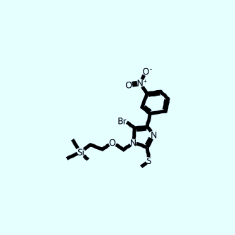 CSc1nc(-c2cccc([N+](=O)[O-])c2)c(Br)n1COCC[Si](C)(C)C